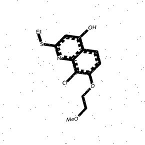 CCSc1cc(O)c2ccc(OCCOC)c(Cl)c2n1